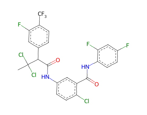 CC(Cl)(Cl)C(C(=O)Nc1ccc(Cl)c(C(=O)Nc2ccc(F)cc2F)c1)c1ccc(C(F)(F)F)c(F)c1